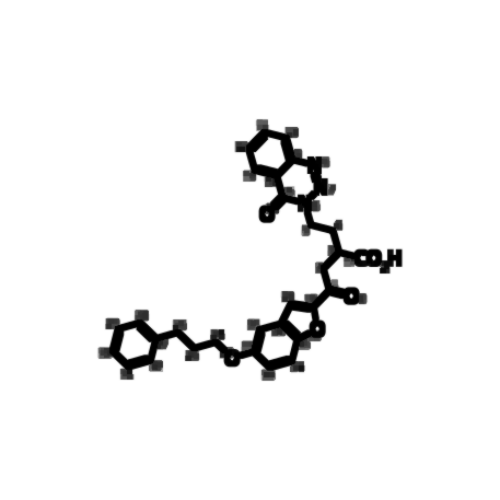 O=C(CC(CCn1nnc2ccccc2c1=O)C(=O)O)c1cc2cc(OCCCc3ccccc3)ccc2o1